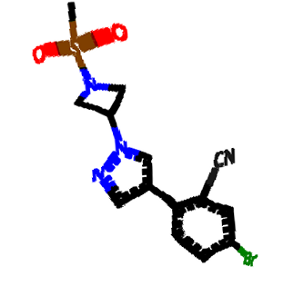 CS(=O)(=O)N1CC(n2cc(-c3ccc(Br)cc3C#N)cn2)C1